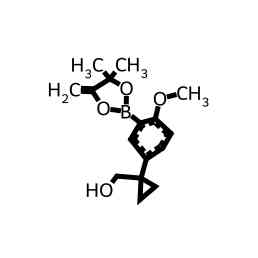 C=C1OB(c2cc(C3(CO)CC3)ccc2OC)OC1(C)C